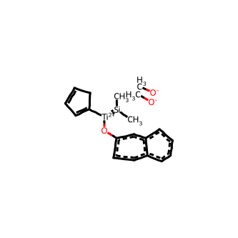 C[O-].C[O-].C[Si](C)=[Ti+2]([O]c1ccc2ccccc2c1)[C]1=CC=CC1